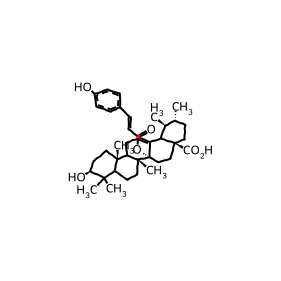 C[C@@H]1CC[C@]2(C(=O)O)CC[C@]3(OC(=O)/C=C/c4ccc(O)cc4)C(=CCC4[C@@]5(C)CC[C@H](O)C(C)(C)C5CC[C@]43C)C2[C@H]1C